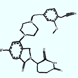 COc1cc(CN2CCN(c3cc(F)cc4c3CN(C3CCC(=O)NC3=O)C4=O)CC2)ccc1C#N